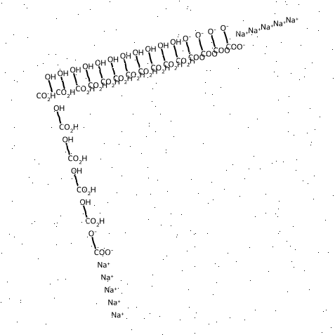 O=C(O)O.O=C(O)O.O=C(O)O.O=C(O)O.O=C(O)O.O=C(O)O.O=C(O)O.O=C(O)O.O=C(O)O.O=C(O)O.O=C(O)O.O=C(O)O.O=C(O)O.O=C(O)O.O=C(O)O.O=C([O-])[O-].O=C([O-])[O-].O=C([O-])[O-].O=C([O-])[O-].O=C([O-])[O-].[Na+].[Na+].[Na+].[Na+].[Na+].[Na+].[Na+].[Na+].[Na+].[Na+]